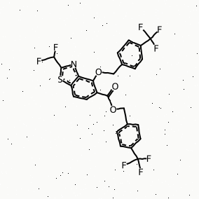 O=C(OCc1ccc(C(F)(F)F)cc1)c1ccc2sc(C(F)F)nc2c1OCc1ccc(C(F)(F)F)cc1